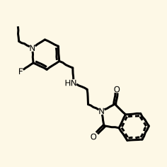 CCN1CC=C(CNCCN2C(=O)c3ccccc3C2=O)C=C1F